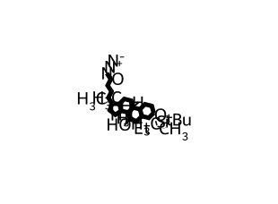 CC[C@@H]1C2CC(O[Si](C)(C)C(C)(C)C)CCC2(C)[C@H]2CCC3(C)C([C@H](C)CCC(=O)N=[N+]=[N-])CC[C@H]3[C@@H]2[C@@H]1O